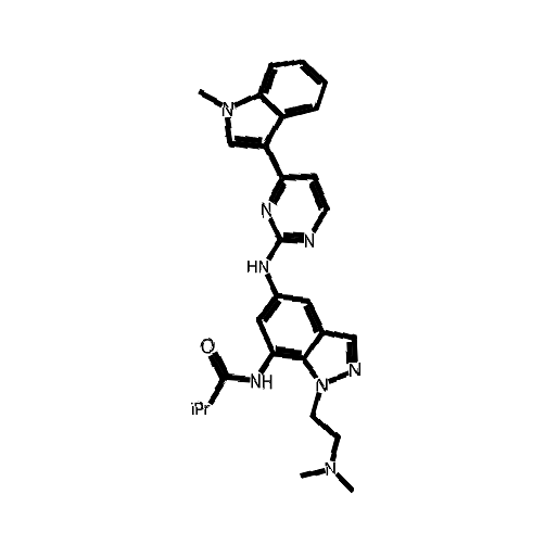 CC(C)C(=O)Nc1cc(Nc2nccc(-c3cn(C)c4ccccc34)n2)cc2cnn(CCN(C)C)c12